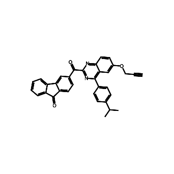 C#CCOc1ccc2nc(C(=O)c3ccc4c(c3)-c3ccccc3C4=O)nc(-c3ccc(C(C)C)cc3)c2c1